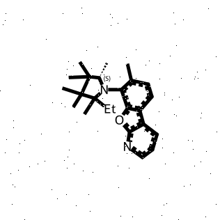 CCC1(C)N(c2c(C)ccc3c2oc2ncccc23)[C@@H](C)C(C)(C)C1(C)C